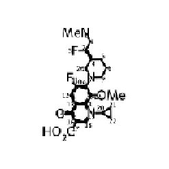 CNCC(F)=C1CCCN(c2c(F)cc3c(=O)c(C(=O)O)cn(C4CC4)c3c2OC)C1